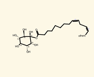 CCCCC/C=C\C/C=C\CCCCCCCC(=O)O[C@]1(O)[C@H](O)[C@H](O)[C@@H](O)[C@H](O)[C@H]1O